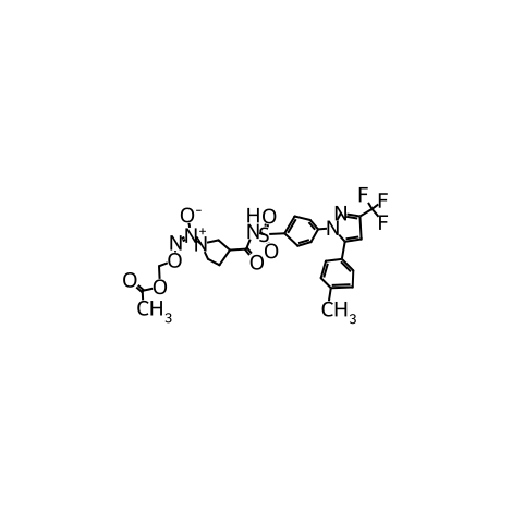 CC(=O)OCO/N=[N+](/[O-])N1CCC(C(=O)NS(=O)(=O)c2ccc(-n3nc(C(F)(F)F)cc3-c3ccc(C)cc3)cc2)C1